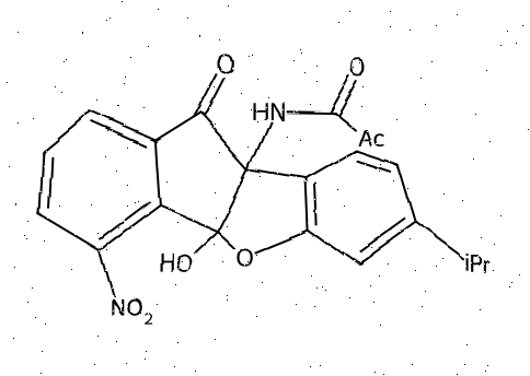 CC(=O)C(=O)NC12C(=O)c3cccc([N+](=O)[O-])c3C1(O)Oc1cc(C(C)C)ccc12